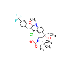 CCC(O)(c1ccc2nc(OC)c(Cc3ccc(C(F)(F)F)cc3)c(Cl)c2c1)C1CN(C(=O)O)C1C(C)(C)C